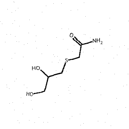 NC(=O)CSCC(O)CO